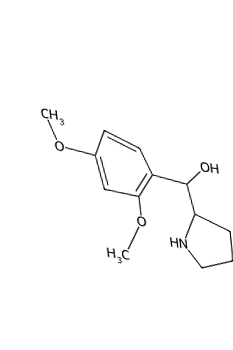 COc1ccc(C(O)C2CCCN2)c(OC)c1